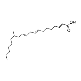 CCCCCCC(C)CC=CCC=CCCCCC=CC(=O)O